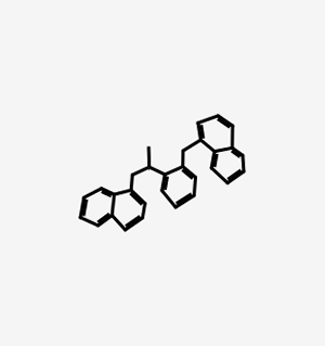 C[C](Cc1cccc2ccccc12)c1ccccc1Cc1cccc2ccccc12